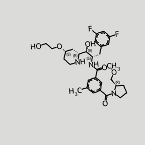 COC[C@H]1CCCN1C(=O)c1cc(C)cc(C(=O)N[C@@H](Cc2cc(F)cc(F)c2)[C@H](O)[C@H]2C[C@@H](OCCO)CCN2)c1